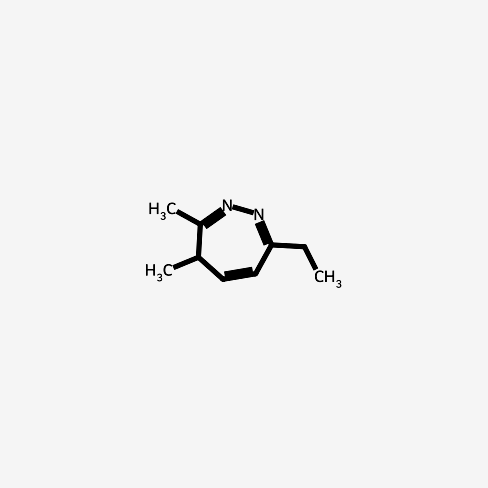 CCC1=NN=C(C)C(C)C=C1